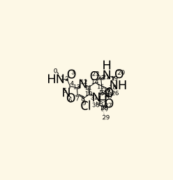 CNC(=O)c1noc2c(Cl)c3c(nc12)CC1(C(=O)NC(=O)NC1=O)[C@H]1[C@H](C)O[C@H](C)CN31